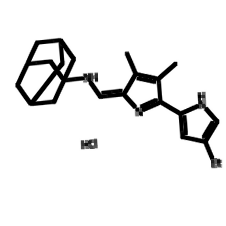 CCc1c[nH]c(C2=NC(=CNC34CC5CC(CC(C5)C3)C4)C(C)=C2C)c1.Cl